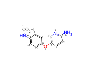 Nc1ccc(Oc2ccc(NC(=O)O)cc2)cn1